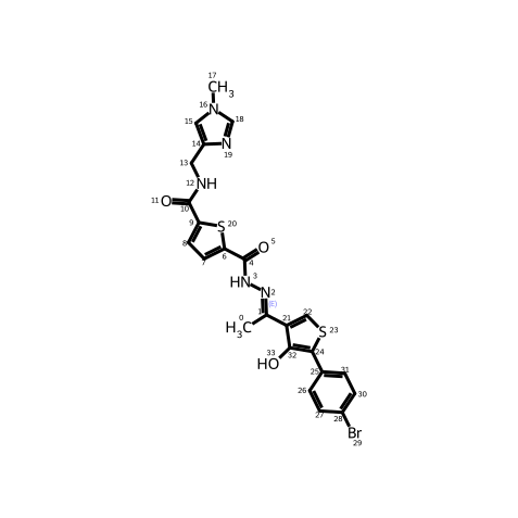 C/C(=N\NC(=O)c1ccc(C(=O)NCc2cn(C)cn2)s1)c1csc(-c2ccc(Br)cc2)c1O